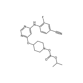 CC(C)OC(=O)ON1CCC(Oc2cc(Nc3ccc(C#N)cc3F)ncn2)CC1